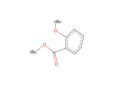 CCCCOc1ccccc1C(=O)OC(C)(C)C